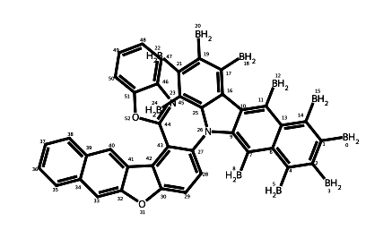 Bc1c(B)c(B)c2c(B)c3c(c(B)c2c1B)c1c(B)c(B)c(B)c(B)c1n3-c1ccc2oc3cc4ccccc4cc3c2c1-c1nc2ccccc2o1